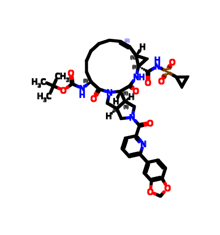 CC(C)(C)OC(=O)N[C@H]1CCCCC/C=C\[C@@H]2C[C@@]2(C(=O)NS(=O)(=O)C2CC2)NC(=O)[C@@H]2[C@H]3CN(C(=O)c4cccc(-c5ccc6c(c5)OCO6)n4)C[C@H]3CN2C1=O